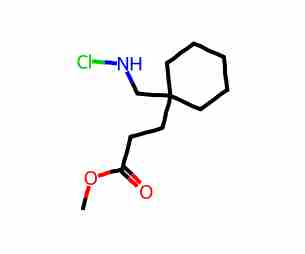 COC(=O)CCC1(CNCl)CCCCC1